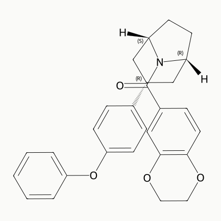 O=C(c1ccc2c(c1)OCCO2)N1[C@@H]2CC[C@H]1C[C@@H](c1ccc(Oc3ccccc3)cc1)C2